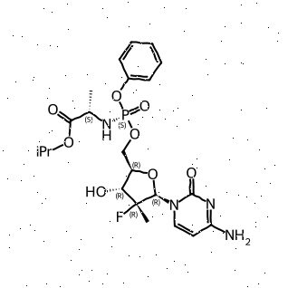 CC(C)OC(=O)[C@H](C)N[P@](=O)(OC[C@H]1O[C@@H](n2ccc(N)nc2=O)[C@](C)(F)[C@@H]1O)Oc1ccccc1